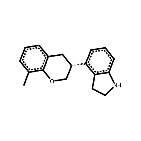 Cc1cccc2c1OC[C@@H](c1cccc3c1CCN3)C2